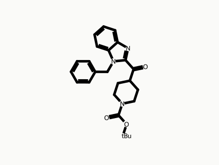 CC(C)(C)OC(=O)N1CCC(C(=O)c2nc3ccccc3n2Cc2ccccc2)CC1